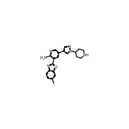 Cc1ccc2nc(-c3cc(-c4cnn(C5CCNCC5)c4)cnc3N)oc2c1